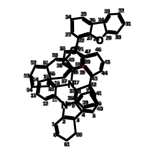 C1=Cc2c(c3ccccc3n2-c2ccccc2N(c2ccc(-c3cccc4c3oc3ccccc34)cc2)c2ccccc2-c2cccc3oc4cc5ccccc5cc4c23)CC1